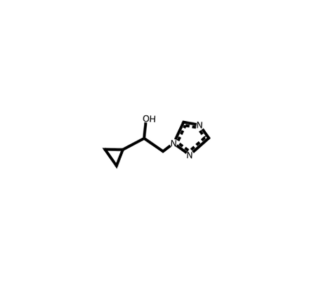 OC(Cn1cncn1)C1CC1